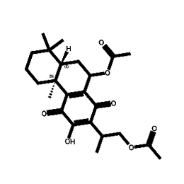 CC(=O)OCC(C)C1=C(O)C(=O)C2=C(C1=O)C(OC(C)=O)C[C@H]1C(C)(C)CCC[C@]21C